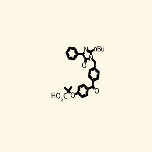 CCCCC1=NC(c2ccccc2)C(=O)N1Cc1ccc(C(=O)c2ccc(OC(C)(C)C(=O)O)cc2)cc1